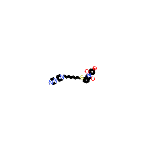 CN1CCN(C2CCN(CCCCCCCCSc3cccc4c3CN(C3CCC(=O)CC3=O)C4=O)CC2)CC1